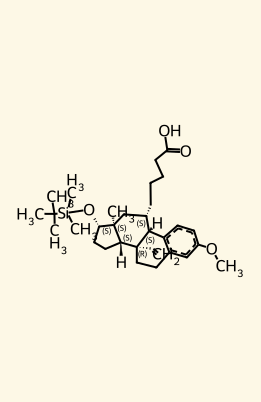 C=C[C@@]12CCc3cc(OC)ccc3[C@H]1[C@@H](CCCCC(=O)O)C[C@]1(C)[C@@H](O[Si](C)(C)C(C)(C)C)CC[C@H]12